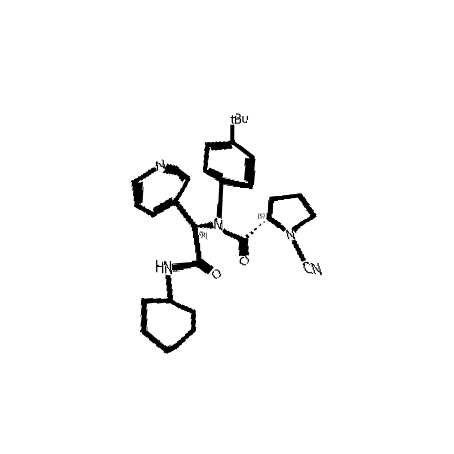 CC(C)(C)c1ccc(N(C(=O)[C@@H]2CCCN2C#N)[C@@H](C(=O)NC2CCCCC2)c2cccnc2)cc1